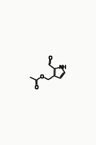 CC(=O)OCc1cc[nH]c1C=O